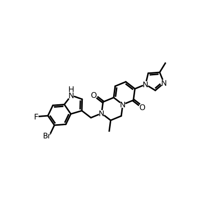 Cc1cn(-c2ccc3n(c2=O)CC(C)N(Cc2c[nH]c4cc(F)c(Br)cc24)C3=O)cn1